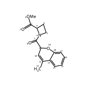 COC(=O)C1CCN1C(=O)C1C=C(C)c2ccccc2O1